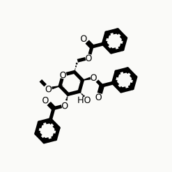 CO[C@H]1O[C@H](COC(=O)c2ccccc2)[C@@H](OC(=O)c2ccccc2)[C@H](O)[C@@H]1OC(=O)c1ccccc1